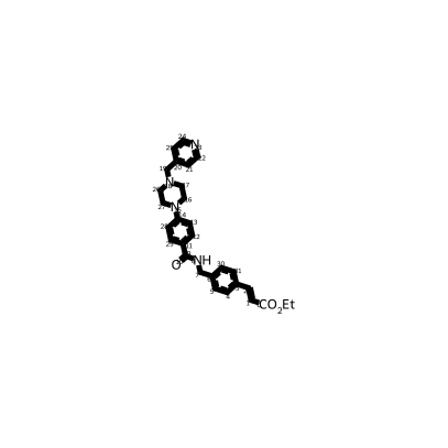 CCOC(=O)/C=C/c1ccc(CNC(=O)c2ccc(N3CCN(Cc4ccncc4)CC3)cc2)cc1